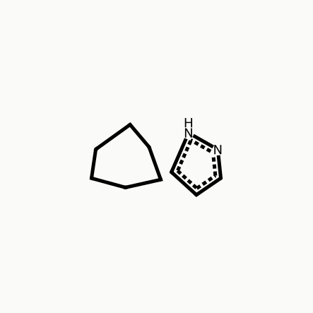 C1CCCCC1.c1cn[nH]c1